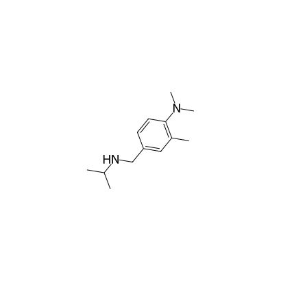 Cc1cc(CNC(C)C)ccc1N(C)C